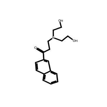 O=C(CCN(CCO)CCO)c1ccc2ccccc2c1